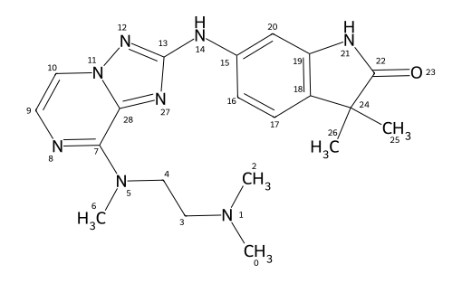 CN(C)CCN(C)c1nccn2nc(Nc3ccc4c(c3)NC(=O)C4(C)C)nc12